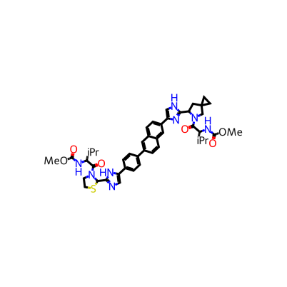 COC(=O)NC(C(=O)N1CC2(CC2)CC1c1nc(-c2ccc3cc(-c4ccc(-c5cnc(C6SCCN6C(=O)C(NC(=O)OC)C(C)C)[nH]5)cc4)ccc3c2)c[nH]1)C(C)C